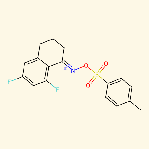 Cc1ccc(S(=O)(=O)O/N=C2\CCCc3cc(F)cc(F)c32)cc1